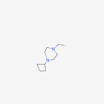 [CH2]CN1CCN(C2CCC2)CC1